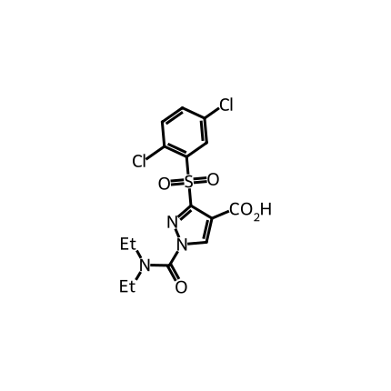 CCN(CC)C(=O)n1cc(C(=O)O)c(S(=O)(=O)c2cc(Cl)ccc2Cl)n1